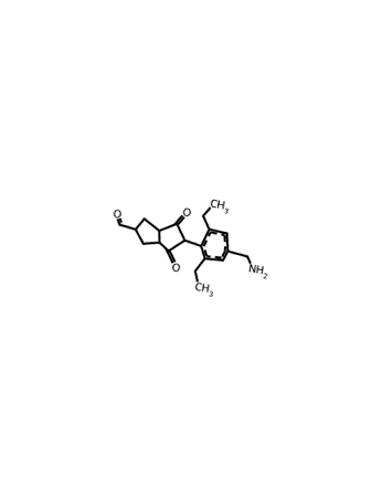 CCc1cc(CN)cc(CC)c1C1C(=O)C2CC(C=O)CC2C1=O